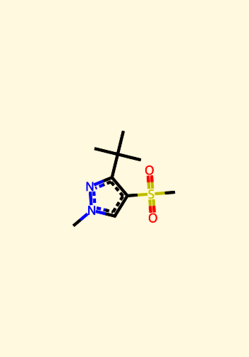 Cn1cc(S(C)(=O)=O)c(C(C)(C)C)n1